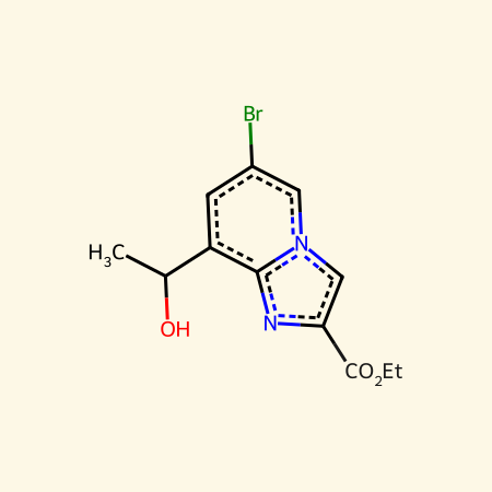 CCOC(=O)c1cn2cc(Br)cc(C(C)O)c2n1